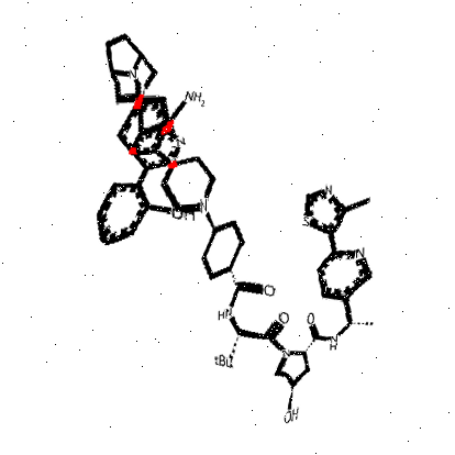 Cc1ncsc1-c1ccc([C@H](C)NC(=O)[C@@H]2C[C@@H](O)CN2C(=O)[C@@H](NC(=O)[C@H]2CC[C@H](N3CCC(c4ccc(N5C6CCC5CN(c5cc(-c7ccccc7O)nnc5N)C6)cc4)CC3)CC2)C(C)(C)C)cn1